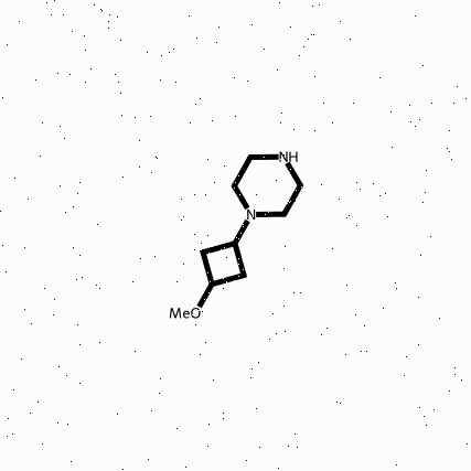 COC1CC(N2CCNCC2)C1